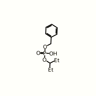 CCC(CC)OP(=O)(O)OCc1ccccc1